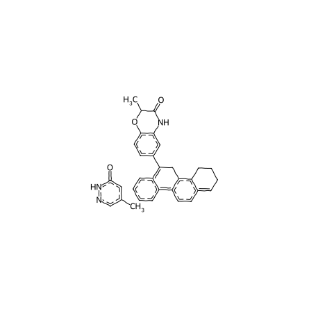 CC1Oc2ccc(C3=c4ccccc4=c4ccc5c(c4C3)CCCC=5)cc2NC1=O.Cc1cn[nH]c(=O)c1